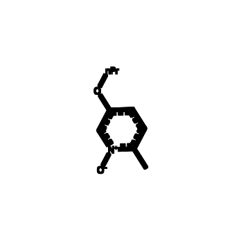 CCCOc1ccc(C)[n+]([O-])c1